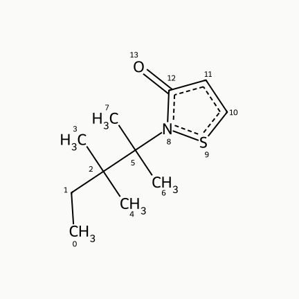 CCC(C)(C)C(C)(C)n1sccc1=O